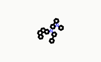 c1ccc(-c2cccc(N(c3ccc4c(ccc5ccc6ccccc6c54)c3)c3ccc4c5ccccc5n(-c5ccccc5)c4c3)c2)cc1